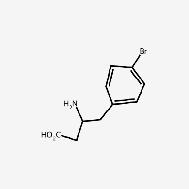 NC(CC(=O)O)Cc1ccc(Br)cc1